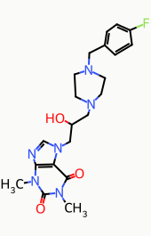 Cn1c(=O)c2c(ncn2CC(O)CN2CCN(Cc3ccc(F)cc3)CC2)n(C)c1=O